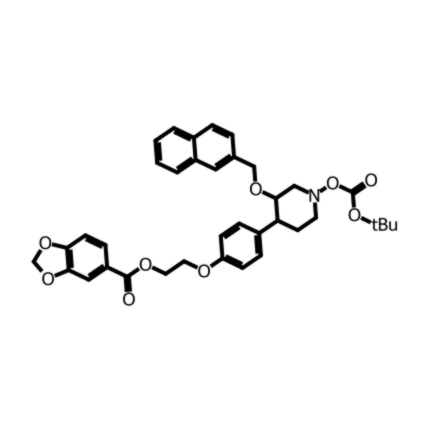 CC(C)(C)OC(=O)ON1CCC(c2ccc(OCCOC(=O)c3ccc4c(c3)OCO4)cc2)C(OCc2ccc3ccccc3c2)C1